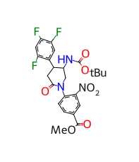 COC(=O)c1ccc(N2CC(NC(=O)OC(C)(C)C)C(c3cc(F)c(F)cc3F)CC2=O)c([N+](=O)[O-])c1